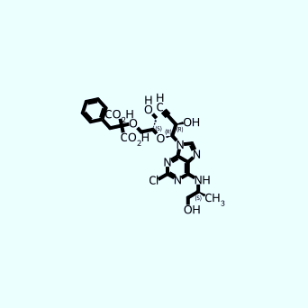 C#C[C@@H](O)[C@@H](O[C@@H](CO)COC(Cc1ccccc1)(C(=O)O)C(=O)O)n1cnc2c(N[C@@H](C)CO)nc(Cl)nc21